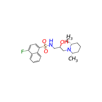 C[C@@H]1CCC[C@H](C)N1C[C@H](O)CNS(=O)(=O)c1ccc(F)c2ccccc12